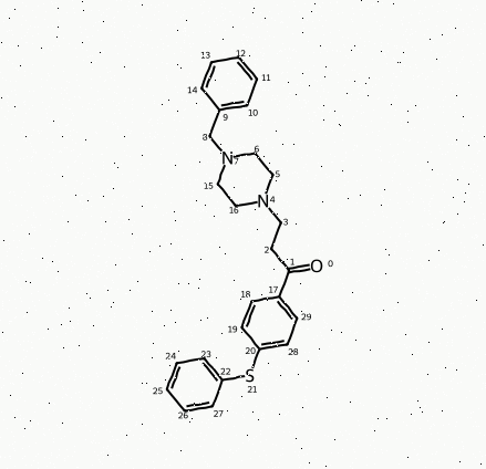 O=C(CCN1CCN(Cc2ccccc2)CC1)c1ccc(Sc2ccccc2)cc1